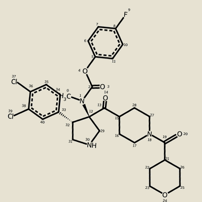 CN(C(=O)Oc1ccc(F)cc1)[C@@]1(C(=O)C2CCN(C(=O)C3CCOCC3)CC2)CNC[C@@H]1c1ccc(Cl)c(Cl)c1